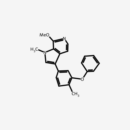 COc1nccc2c(-c3ccc(C)c(Oc4ccccc4)c3)cn(C)c12